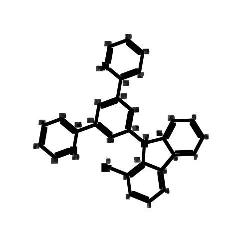 Brc1cccc2c3ccccc3n(-c3cc(-c4ccccn4)cc(-c4ccccn4)c3)c12